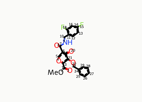 COC(=O)c1occ(C(=O)NCc2ccc(F)cc2F)c(=O)c1OCc1ccccc1